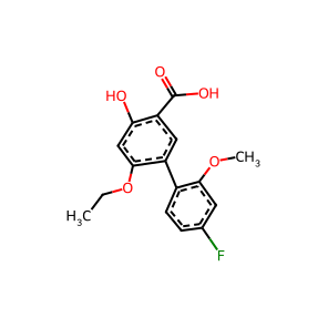 CCOc1cc(O)c(C(=O)O)cc1-c1ccc(F)cc1OC